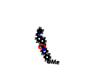 COc1ccc(C2CCN(C(=O)Oc3ccc4cc(CN5CCCC5)ccc4c3)CC2)cc1